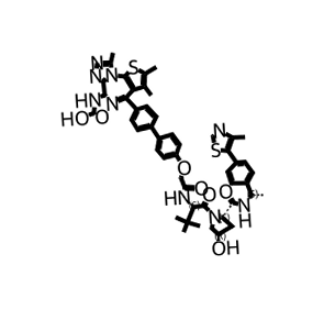 Cc1ncsc1-c1ccc([C@H](C)NC(=O)[C@@H]2C[C@@H](O)CN2C(=O)[C@@H](NC(=O)COc2ccc(-c3ccc(C4=NC(NC(=O)O)c5nnc(C)n5-c5sc(C)c(C)c54)cc3)cc2)C(C)(C)C)cc1